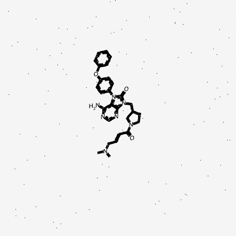 CN(C)C/C=C/C(=O)N1CCC(Cn2c(=O)n(-c3ccc(Oc4ccccc4)cc3)c3c(N)ncnc32)C1